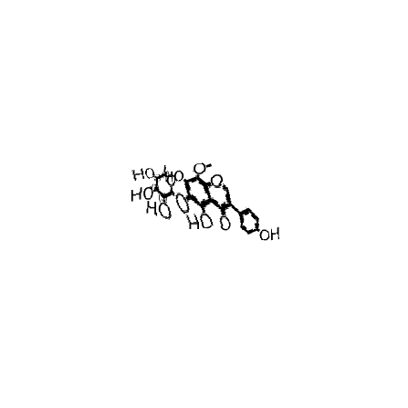 COc1c(O)c(OC2O[C@H](C)[C@@H](O)[C@H](O)[C@@H]2O)c(O)c2c(=O)c(-c3ccc(O)cc3)coc12